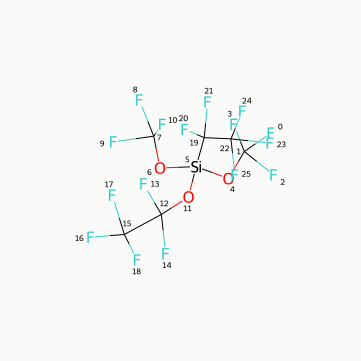 FC(F)(F)O[Si](OC(F)(F)F)(OC(F)(F)C(F)(F)F)C(F)(F)C(F)(F)F